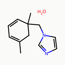 CC1=CC=CC(C)(Cn2ccnc2)C1.O